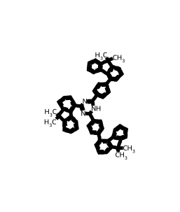 CC1(C)c2ccccc2-c2c(C3=NC(c4ccc(-c5cccc6c5-c5ccccc5C6(C)C)cc4)NC(c4ccc(-c5cccc6c5-c5ccccc5C6(C)C)cc4)=N3)cccc21